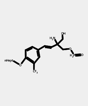 CCCCCCCOc1ccc(C=CC(N)(CO)CO[PH2]=O)cc1C(F)(F)F